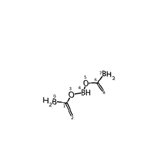 BC(=C)OBOC(B)=C